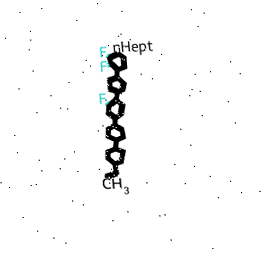 C/C=C/C1CCC(C2CC=C(c3ccc(-c4ccc(-c5ccc(CCCCCCC)c(F)c5F)cc4)c(F)c3)CC2)CC1